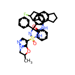 CC1Cn2ncc(S(=O)(=NC(c3ccccc3)(c3ccccc3)c3ccccc3)NC(=O)Nc3c4c(cc5c3CC(F)C5)CCC4)c2O1